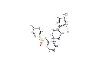 Cc1ccc([S@@+]([O-])Cc2ccccc2N2CCC(c3ccc(Cl)cc3F)CC2)cc1